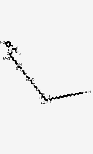 CN[C@@H](CCCCNC(=O)COCCOCCNC(=O)COCCOCCNC(=O)CCC(NC(=O)CCCCCCCCCCCCCCCCC(=O)O)C(=O)O)C(=O)CN[C@H](Cc1ccc(O)cc1)C(N)=O